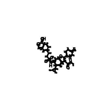 CNC(=O)c1c(-c2ccc(F)cc2)oc2cc(NS(=O)(=O)CCc3ccc4c(c3)COB4O)c(C3CC3)cc12